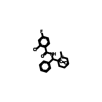 CN1CC2CCC1(C(NC(=O)c1ccc(F)cc1Cl)c1ccccc1)CC2